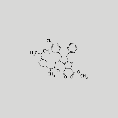 COC(=O)c1sc2c(-c3ccccc3)c(-c3ccc(Cl)cc3)n(CC(=O)N(C)C3CCN(C(C)C)C3)c2c1C=O